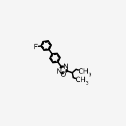 CCC(CC)c1nc(-c2ccc(-c3cccc(F)c3)cc2)no1